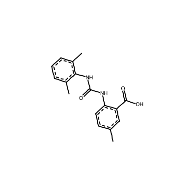 Cc1ccc(NC(=O)Nc2c(C)cccc2C)c(C(=O)O)c1